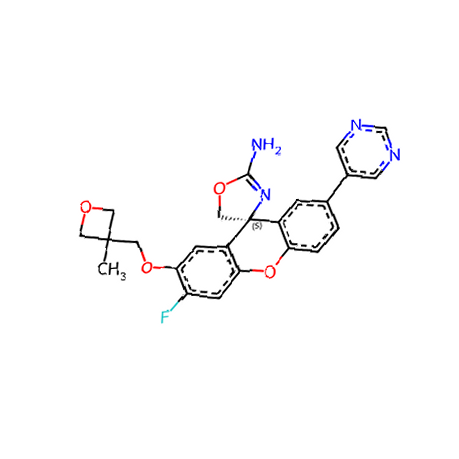 CC1(COc2cc3c(cc2F)Oc2ccc(-c4cncnc4)cc2[C@@]32COC(N)=N2)COC1